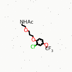 CC(=O)NCCOCCCOc1ccc(OC(F)(F)F)cc1Cl